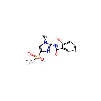 CCn1cc(S(=O)(=O)C(F)(F)F)nc1NC(=O)c1ccccc1O